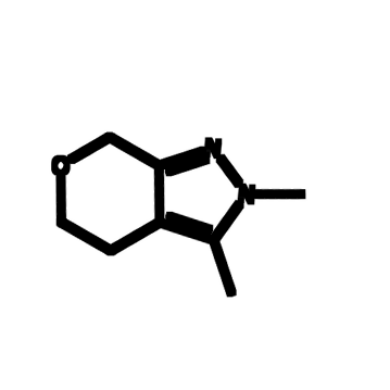 Cc1c2c(nn1C)COCC2